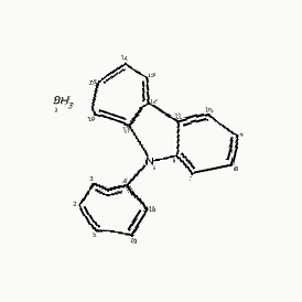 B.c1ccc(-n2c3ccccc3c3ccccc32)cc1